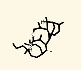 CCCC1(C)CCC2CC[SH]1(C)(C)[C@@]1(C)CCC(C)C3C4CCC(C)C(CC4C(C1C)[C@@H]2C)[C@H]3C